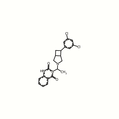 CC(N1CC2CC(c3cc(Cl)cc(Cl)c3)C2C1)n1c(=O)[nH]c2ccccc2c1=O